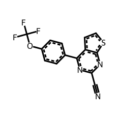 N#Cc1nc(-c2ccc(OC(F)(F)F)cc2)c2ccsc2n1